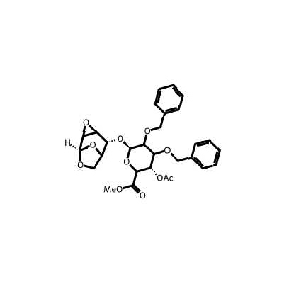 COC(=O)C1O[C@@H](O[C@@H]2C3CO[C@H](O3)C3OC32)C(OCc2ccccc2)C(OCc2ccccc2)[C@@H]1OC(C)=O